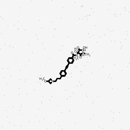 CNC(=O)[C@@](C)(C(=O)NO)N(C)C(=O)c1ccc(C#Cc2ccc(CCCN3CC(OC)C3)cc2)cc1